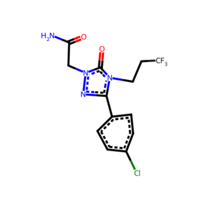 NC(=O)Cn1nc(-c2ccc(Cl)cc2)n(CCC(F)(F)F)c1=O